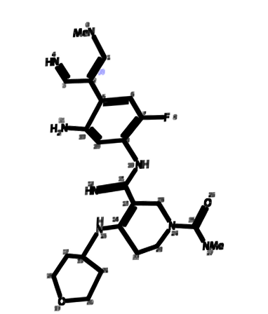 CN/C=C(\C=N)c1cc(F)c(NC(=N)C2=C(NC3CCOCC3)CCN(C(=O)NC)C2)cc1N